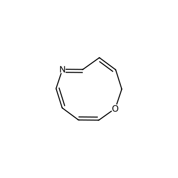 C1=C\N=C\C=C/CO\C=C/1